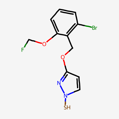 FCOc1cccc(Br)c1COc1ccn(S)n1